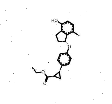 CCOC(=O)C1C[C@@H]1c1ccc(O[C@@H]2CCc3c(O)ccc(F)c32)cc1